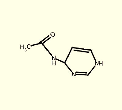 CC(=O)N[C]1C=CNC=N1